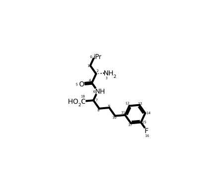 CC(C)C[C@H](N)C(=O)NC(CCCc1cccc(F)c1)C(=O)O